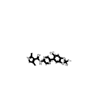 CC1=NCC(C)=C1C(=O)Nc1cnc(-c2cc3c(cc2Cl)OC(F)(F)O3)cn1